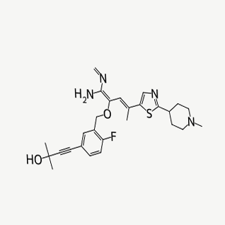 C=N/C(N)=C(\C=C(/C)c1cnc(C2CCN(C)CC2)s1)OCc1cc(C#CC(C)(C)O)ccc1F